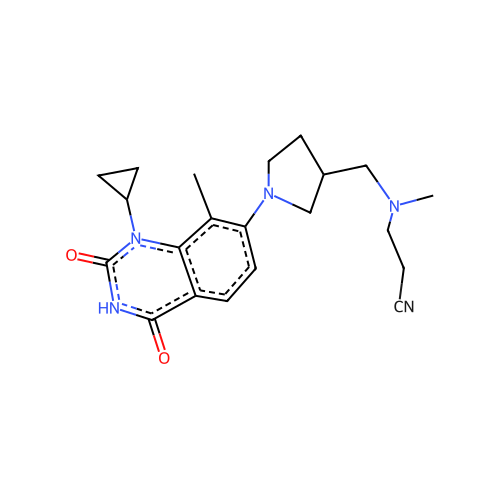 Cc1c(N2CCC(CN(C)CCC#N)C2)ccc2c(=O)[nH]c(=O)n(C3CC3)c12